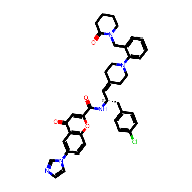 O=C(N[C@H](C=C1CCN(c2ccccc2CN2CCCCC2=O)CC1)Cc1ccc(Cl)cc1)c1cc(=O)c2cc(-n3ccnc3)ccc2o1